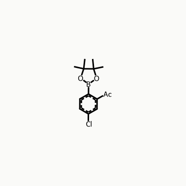 CC(=O)c1cc(Cl)ccc1B1OC(C)(C)C(C)(C)O1